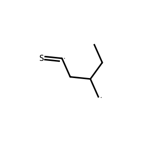 [CH2]C(CC)C[C]=S